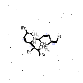 C=C(CCCC)/C(CC)=C(/C=C\C(C)C(C)C)NC(C)/C=C\C(C)=C/CC